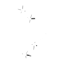 O=[As]([O-])([O-])F.O=[As]([O-])([O-])F.O=[As]([O-])([O-])F.O=[As]([O-])([O-])F.[Li+].[Li+].[Li+].[Li+].[Li+].[Li+].[Li+].[Li+]